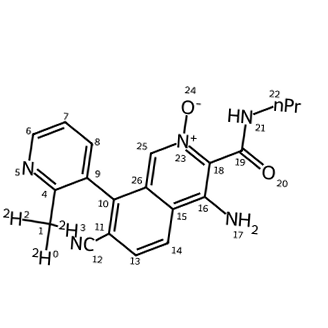 [2H]C([2H])([2H])c1ncccc1-c1c(C#N)ccc2c(N)c(C(=O)NCCC)[n+]([O-])cc12